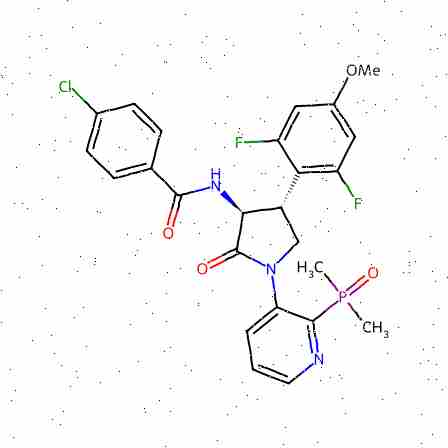 COc1cc(F)c([C@@H]2CN(c3cccnc3P(C)(C)=O)C(=O)[C@H]2NC(=O)c2ccc(Cl)cc2)c(F)c1